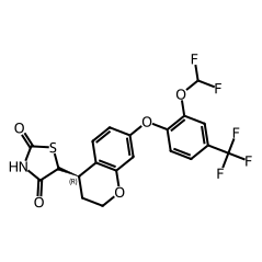 O=C1NC(=O)C([C@@H]2CCOc3cc(Oc4ccc(C(F)(F)F)cc4OC(F)F)ccc32)S1